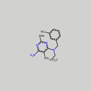 CCOC(=O)CN(Cc1cccc(C#N)c1)c1nc(SC)nc(N)c1[N+](=O)[O-]